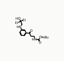 CCCCOC(=O)NCCC(=O)c1cccc(NCC(O)(CC)CC)c1